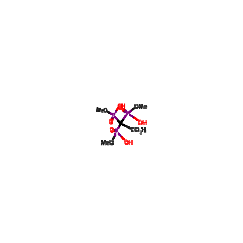 COP(=O)(O)C(C(=O)O)(P(=O)(O)OC)P(=O)(O)OC